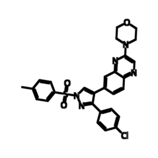 Cc1ccc(S(=O)(=O)n2cc(-c3ccc4ncc(N5CCOCC5)nc4c3)c(-c3ccc(Cl)cc3)n2)cc1